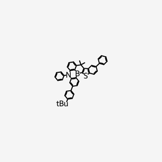 CC(C)(C)c1ccc(-c2ccc3c(c2)N(c2ccccc2)c2cccc4c2B3c2sc3ccc(-c5ccccc5)cc3c2C4(C)C)cc1